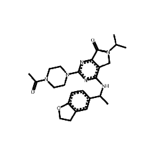 CC(=O)N1CCN(c2nc(NC(C)c3ccc4c(c3)CCO4)c3c(n2)C(=O)N(C(C)C)C3)CC1